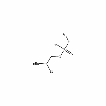 CCCCC(CC)COP(=S)(S)OC(C)C